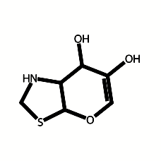 OC1=COC2SCNC2C1O